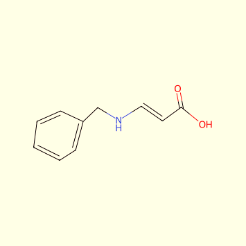 O=C(O)/C=C/NCc1ccccc1